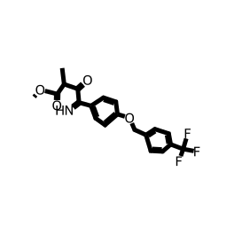 COC(=O)C(C)C(=O)C(=N)c1ccc(OCc2ccc(C(F)(F)F)cc2)cc1